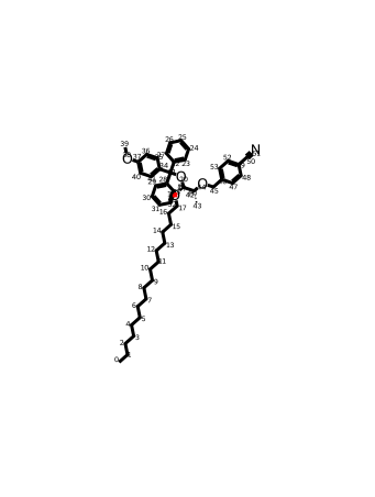 CCCCCCCCCCCCCCCCCCO[C@@H](OC(c1ccccc1)(c1ccccc1)c1ccc(OC)cc1)[C@@H](C)OCc1ccc(C#N)cc1